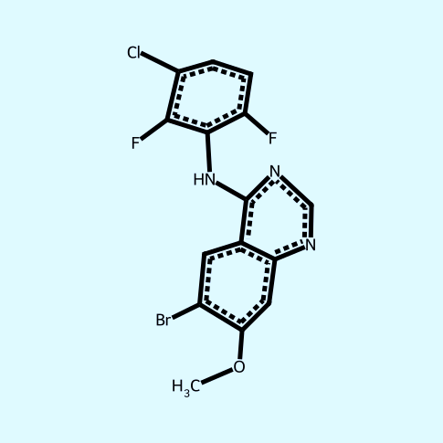 COc1cc2ncnc(Nc3c(F)ccc(Cl)c3F)c2cc1Br